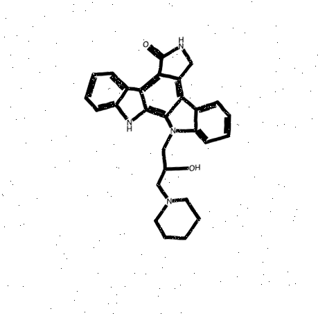 O=C1NCc2c1c1c3ccccc3[nH]c1c1c2c2ccccc2n1CC(O)CN1CCCCC1